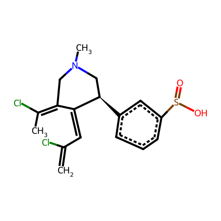 C=C(Cl)/C=C1\C(=C(/C)Cl)CN(C)C[C@H]1c1cccc(S(=O)O)c1